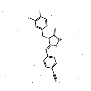 N#Cc1ccc(/N=c2\s[nH]c(=O)n2Cc2ccc(F)c(F)c2)cc1